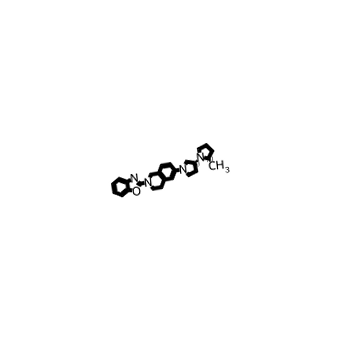 C[C@H]1CCCN1[C@H]1CCN(c2ccc3c(c2)CCN(c2nc4ccccc4o2)C3)C1